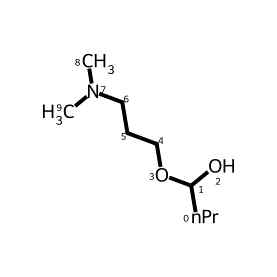 CCCC(O)OCCCN(C)C